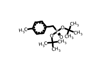 Cc1ccc(CP(=O)(OC(C)(C)C)OC(C)(C)C)cc1